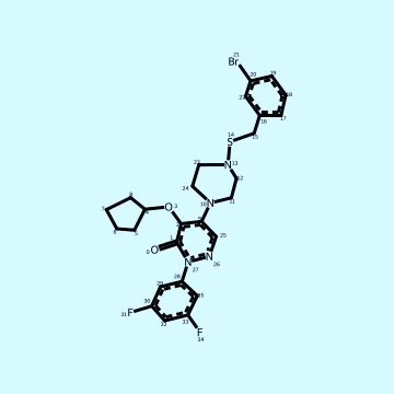 O=c1c(OC2CCCC2)c(N2CCN(SCc3cccc(Br)c3)CC2)cnn1-c1cc(F)cc(F)c1